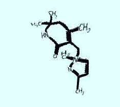 CC1=N[N+](C)(CC2=C(C)CC(C)(C)NC2=O)C=C1